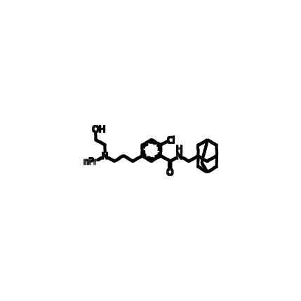 CCCN(CCO)CCCc1ccc(Cl)c(C(=O)NCC23CC4CC(CC(C4)C2)C3)c1